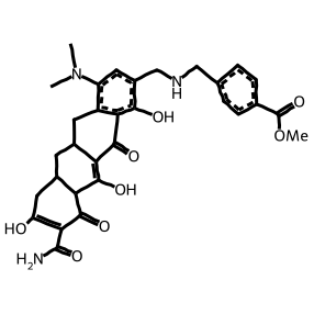 COC(=O)c1ccc(CNCc2cc(N(C)C)c3c(c2O)C(=O)C2=C(O)C4C(=O)C(C(N)=O)=C(O)CC4CC2C3)cc1